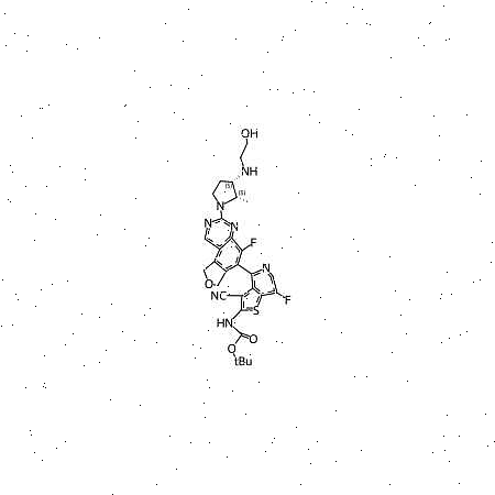 C[C@H]1[C@@H](NCCO)CCN1c1ncc2c3c(c(-c4ncc(F)c5sc(NC(=O)OC(C)(C)C)c(C#N)c45)c(F)c2n1)COC3